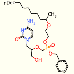 CCCCCCCCCCCCCCCCC(C)OCCO[P@@](=O)(COC(CO)Cn1ccc(N)nc1=O)OCc1ccccc1